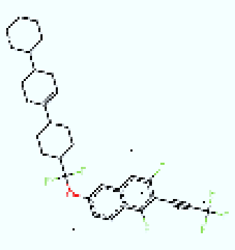 Fc1cc2cc(OC(F)(F)C3CCC(C4=CCC(C5CCCCC5)CC4)CC3)ccc2c(F)c1C#CC(F)(F)F